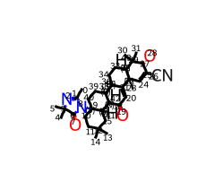 CC1=NC(C)(C)C(=O)N1[C@]12CCC(C)(C)C[C@H]1[C@H]1C(=O)C=C3[C@@]4(C)C=C(C#N)C(=O)C(C)(C)[C@@H]4CC[C@@]3(C)[C@]1(C)CC2